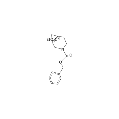 CCOC(=O)[C@]12CCN(C(=O)OCc3ccccc3)CC1C2